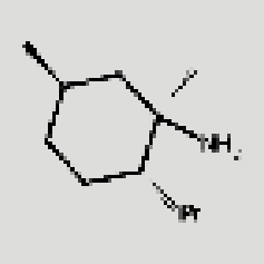 CC(C)[C@@H]1CC[C@@H](C)C[C@@]1(C)N